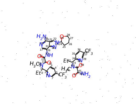 CCC(c1ccc(C(F)(F)F)cn1)N(C)C(=O)C(=O)Nc1cnc(N)c2cn(C3CCCCO3)nc12.CCC(c1ccc(C(F)(F)F)cn1)N(C)C(=O)C(N)=O